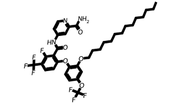 CCCCCCCCCCCCCCOc1cc(OC(F)(F)F)ccc1Oc1ccc(C(F)(F)F)c(F)c1C(=O)Nc1ccnc(C(N)=O)c1